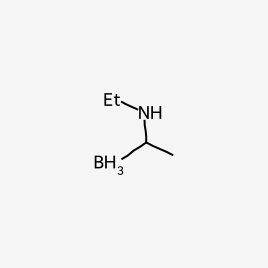 B.CCNC(C)C